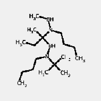 CBN(CCCC)C(C)(BN(CCCC)C(C)(C)C)CC